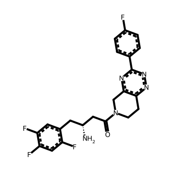 N[C@@H](CC(=O)N1CCc2nnc(-c3ccc(F)cc3)nc2C1)Cc1cc(F)c(F)cc1F